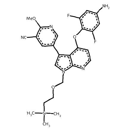 COc1ncc(-c2cn(COCC[Si](C)(C)C)c3nccc(Oc4c(F)cc(N)cc4F)c23)cc1C#N